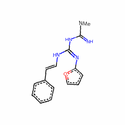 CNC(=N)NC(=Nc1ccco1)NC=Cc1ccccc1